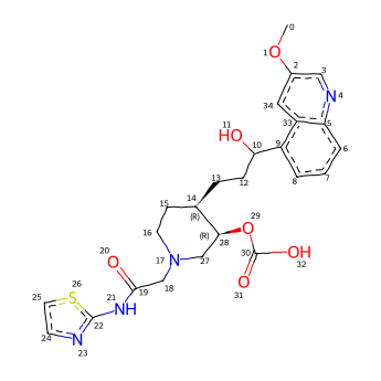 COc1cnc2cccc(C(O)CC[C@@H]3CCN(CC(=O)Nc4nccs4)C[C@@H]3OC(=O)O)c2c1